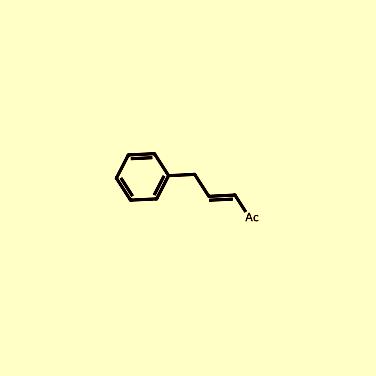 CC(=O)C=CCc1ccccc1